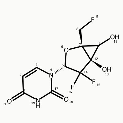 O=c1ccn([C@@H]2O[C@]3(CF)C(O)[C@]3(O)C2(F)F)c(=O)[nH]1